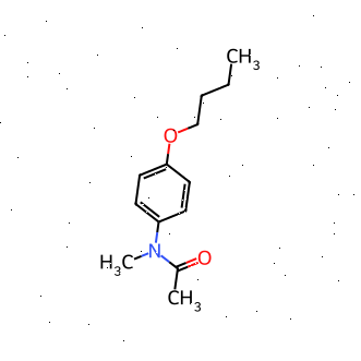 CCCCOc1ccc(N(C)C(C)=O)cc1